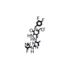 COC[C@H]1C/C(=C/Nc2nc(Nc3c(F)cnn3C)ncc2C)C(=N)C(=O)N1Cc1ccc(F)c(F)c1